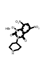 Br.CCn1c(=O)n(C2CCNCC2)c(=O)c2cc([N+](=O)[O-])cc([N+](=O)[O-])c21